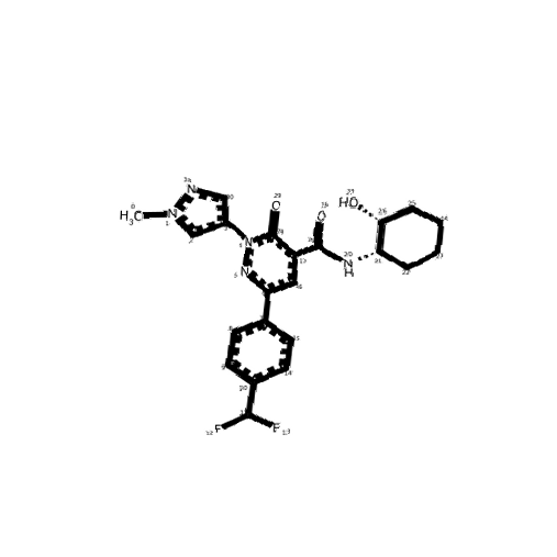 Cn1cc(-n2nc(-c3ccc(C(F)F)cc3)cc(C(=O)N[C@H]3CCCC[C@H]3O)c2=O)cn1